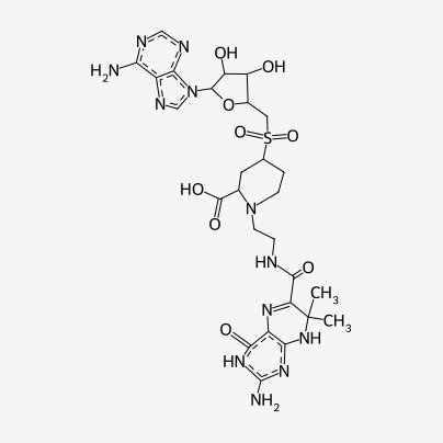 CC1(C)Nc2nc(N)[nH]c(=O)c2N=C1C(=O)NCCN1CCC(S(=O)(=O)CC2OC(n3cnc4c(N)ncnc43)C(O)C2O)CC1C(=O)O